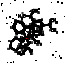 CC(C)c1cc(C(C)C)c(-c2ccccc2[PH](OS(C)(=O)=O)(C2CCCCC2)C2CCCCC2)c(C(C)C)c1